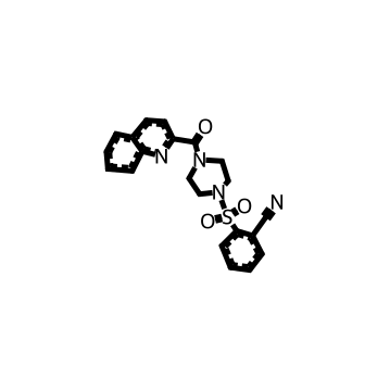 N#Cc1ccccc1S(=O)(=O)N1CCN(C(=O)c2ccc3ccccc3n2)CC1